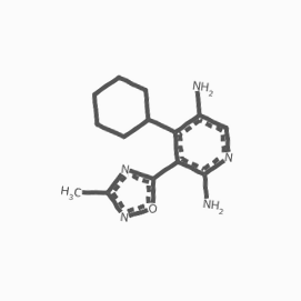 Cc1noc(-c2c(N)ncc(N)c2C2CCCCC2)n1